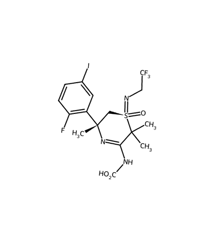 CC1(C)C(NC(=O)O)=N[C@](C)(c2cc(I)ccc2F)C[S@]1(=O)=NCC(F)(F)F